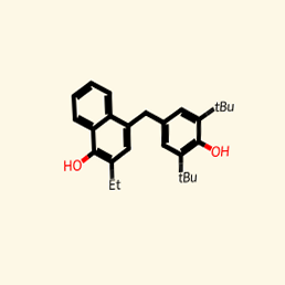 CCc1cc(Cc2cc(C(C)(C)C)c(O)c(C(C)(C)C)c2)c2ccccc2c1O